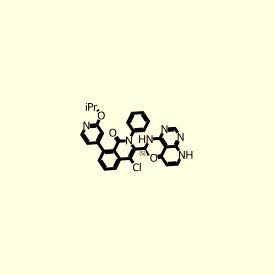 CC(C)Oc1cc(-c2cccc3c(Cl)c([C@H](C)Nc4ncnc5[nH]ccc(=O)c45)n(-c4ccccc4)c(=O)c23)ccn1